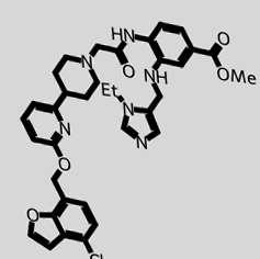 CCn1cncc1CNc1cc(C(=O)OC)ccc1NC(=O)CN1CCC(c2cccc(OCc3ccc(Cl)c4ccoc34)n2)CC1